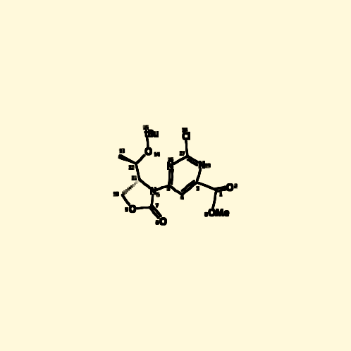 COC(=O)c1cc(N2C(=O)OC[C@@H]2[C@@H](C)OC(C)(C)C)nc(Cl)n1